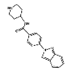 O=C(NC1CCNCC1)c1ccc(-n2cc3ccccc3n2)cc1